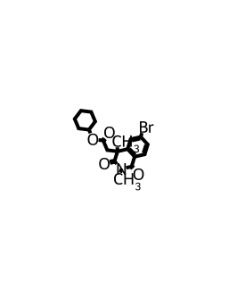 CN1C(=O)c2ccc(Br)cc2C(C)(CC(=O)OC2CCCCC2)C1=O